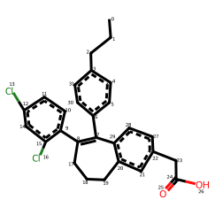 CCCc1ccc(C2=C(c3ccc(Cl)cc3Cl)CCCc3cc(CC(=O)O)ccc32)cc1